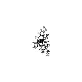 CCc1ccc(CC)c2c1C=C[CH]2[Hf](=[Si]=CC1CCCC1)[CH]1C=Cc2c(CC)ccc(CC)c21